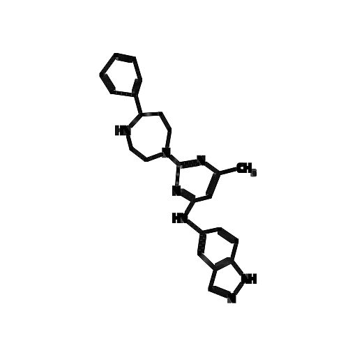 Cc1cc(Nc2ccc3[nH]ncc3c2)nc(N2CCNC(c3ccccc3)CC2)n1